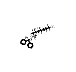 CC(C)C(SOS(=O)(=O)C(F)(F)C(F)(F)C(F)(F)C(F)(F)C(F)(F)C(F)(F)C(F)(F)C(F)(F)F)(c1ccccc1)c1ccccc1